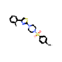 Cc1ccccc1-c1csc(N2CCN(S(=O)(=O)c3ccc(C(C)(C)C)cc3)CC2)n1